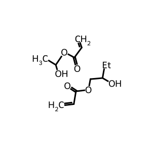 C=CC(=O)OC(C)O.C=CC(=O)OCC(O)CC